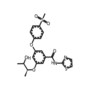 CC(O)[C@H](C)Oc1cc(Oc2ccc(S(C)(=O)=O)cc2)cc(C(=O)Nc2nccs2)c1